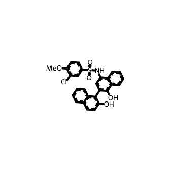 COc1ccc(S(=O)(=O)Nc2cc(-c3c(O)ccc4ccccc34)c(O)c3ccccc23)cc1Cl